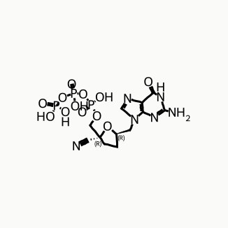 N#C[C@@]1(COP(=O)(O)OP(=O)(O)OP(=O)(O)O)CC[C@H](Cn2cnc3c(=O)[nH]c(N)nc32)O1